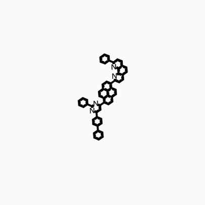 c1ccc(-c2ccc(-c3cc(-c4ccc5ccc6c(-c7ccc8ccc9ccc(-c%10ccccc%10)nc9c8n7)ccc7ccc4c5c76)nc(-c4ccccc4)n3)cc2)cc1